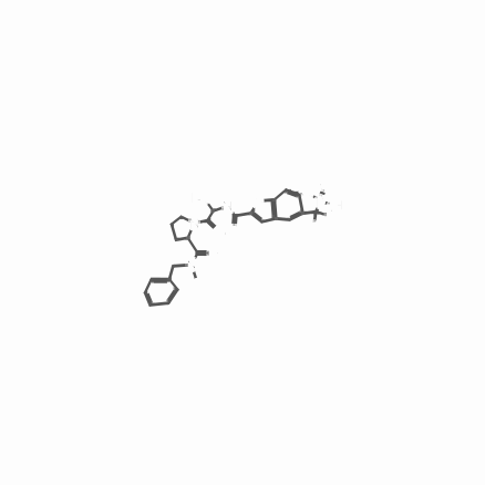 CN(Cc1ccccc1)C(=O)C1CCCN1C(=O)C(NC(=O)c1cc2cc(C(F)(F)P(=O)(O)O)ccc2s1)C(C)(C)C